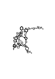 COCCOCCOc1cc(COc2ccc3cc2C[C@H](C(=O)O)Oc2ncnc4sc(-c5ccc(F)cc5)c(c24)-c2c(C)c(Cl)c(c(Cl)c2C)O[C@H](CN2CCN(C)CC2)CO3)nc(-c2ccccc2OC)n1